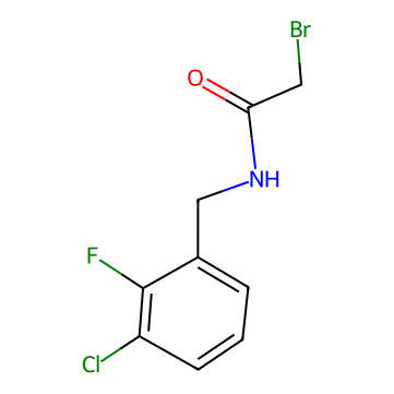 O=C(CBr)NCc1cccc(Cl)c1F